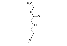 CCOC(=O)CNCCC#N